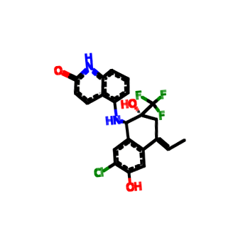 C/C=C1\C[C@](O)(C(F)(F)F)[C@H](Nc2cccc3[nH]c(=O)ccc23)c2cc(Cl)c(O)cc21